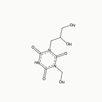 O=c1[nH]c(=O)n(CC(O)CO)c(=O)n1CO